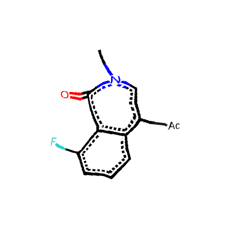 CC(=O)c1cn(C)c(=O)c2c(F)cccc12